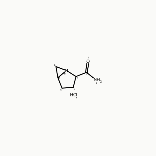 Cl.NC(=O)C1CCC2CN21